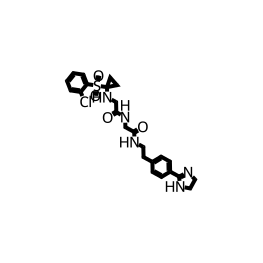 O=C(CNC(=O)CNC1(S(=O)(=O)c2ccccc2Cl)CC1)NCCc1ccc(C2=NCCN2)cc1